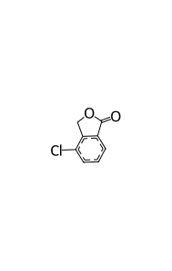 O=C1OCc2c(Cl)cccc21